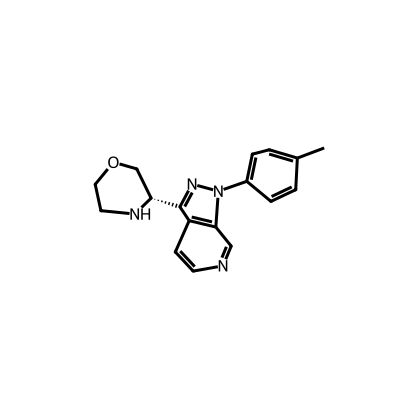 Cc1ccc(-n2nc([C@H]3COCCN3)c3ccncc32)cc1